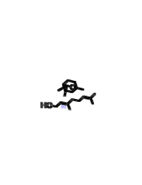 CC(C)=CCC/C(C)=C/CO.CC12CCC(CC1)C(C)(C)O2